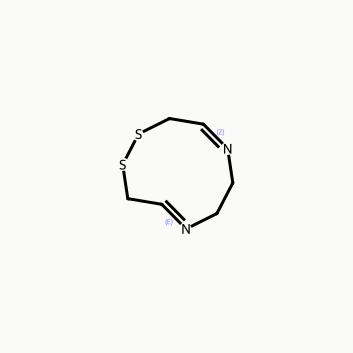 C1=N\CC/N=C/CSSC/1